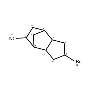 CC(C)(C)C1CC2C3CC(C#N)C(C3)C2C1